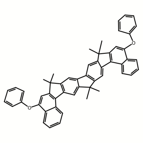 CC1(C)c2cc3c(cc2-c2cc4c(cc21)-c1c(cc(Oc2ccccc2)c2ccccc12)C4(C)C)C(C)(C)c1cc(Oc2ccccc2)c2ccccc2c1-3